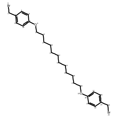 BrCc1ccc(OCCCCCCCCCCCCOc2ccc(CBr)cc2)cc1